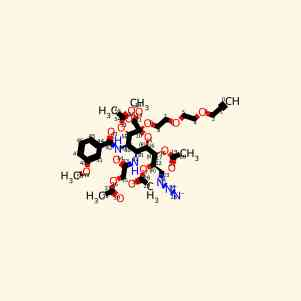 C#CCOCCOCCO[C@@]1(C(=O)OC)O[C@@H]([C@H](OC(C)=O)[C@@H](CN=[N+]=[N-])OC(C)=O)[C@H](NC(=O)COC(C)=O)[C@@H](NC(=O)c2cccc(OC)c2)[C@@H]1OC(C)=O